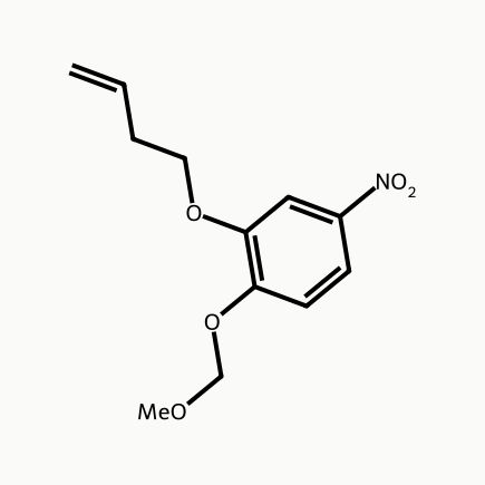 C=CCCOc1cc([N+](=O)[O-])ccc1OCOC